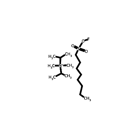 CC(C)[N+](C)(C)C(C)C.CCCCCCCCS(=O)(=O)OF